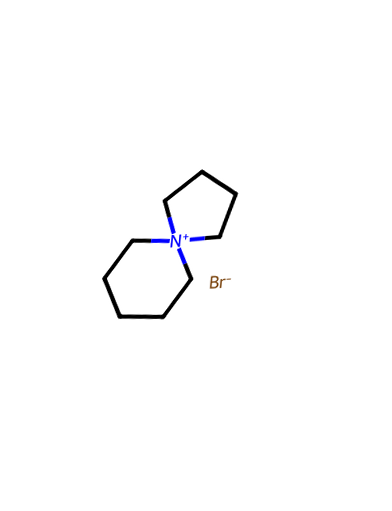 C1CC[N+]2(CC1)CCCC2.[Br-]